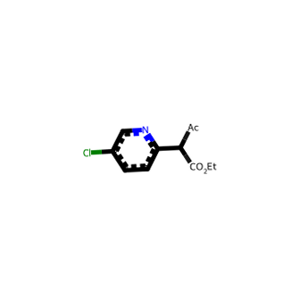 CCOC(=O)C(C(C)=O)c1ccc(Cl)cn1